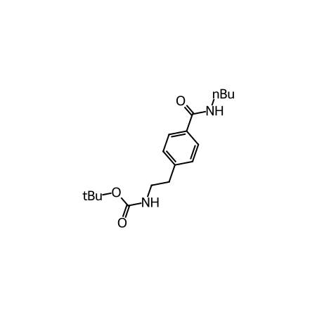 CCCCNC(=O)c1ccc(CCNC(=O)OC(C)(C)C)cc1